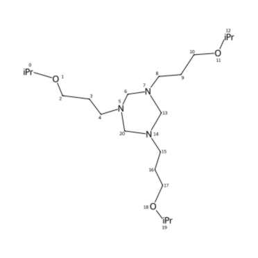 CC(C)OCCCN1CN(CCCOC(C)C)CN(CCCOC(C)C)C1